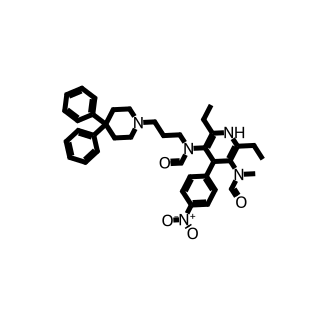 CCC1=C(N(C)C=O)C(c2ccc([N+](=O)[O-])cc2)C(N(C=O)CCCN2CCC(c3ccccc3)(c3ccccc3)CC2)=C(CC)N1